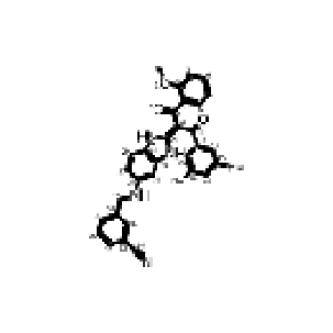 COc1ccccc1C(=O)C(C(=O)c1cc(F)cc(F)c1)=C1Nc2ccc(NCc3cccc(C#N)c3)cc2N1